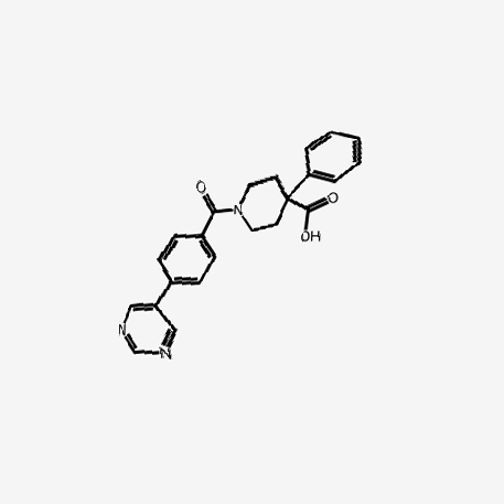 O=C(c1ccc(-c2cncnc2)cc1)N1CCC(C(=O)O)(c2ccccc2)CC1